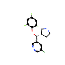 Fc1cc(F)c(OC(c2cncc(Cl)c2)[C@@H]2CCNC2)c(F)c1